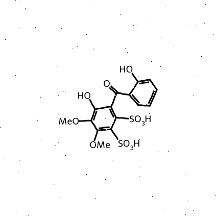 COc1c(O)c(C(=O)c2ccccc2O)c(S(=O)(=O)O)c(S(=O)(=O)O)c1OC